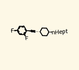 CCCCCCC[C@H]1CC[C@H](C#Cc2ccc(F)cc2F)CC1